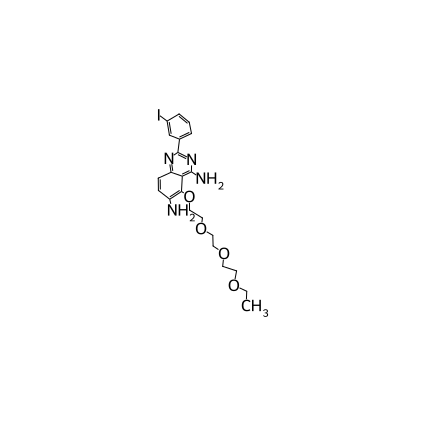 CCOCCOCCOCCOc1c(N)ccc2nc(-c3cccc(I)c3)nc(N)c12